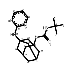 CC(C)(C)NC(=O)OC12CC3CC(CC(Nc4ncccn4)(C3)C1)C2